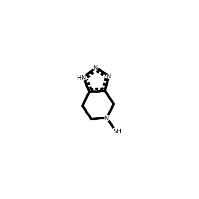 SN1CCc2[nH]nnc2C1